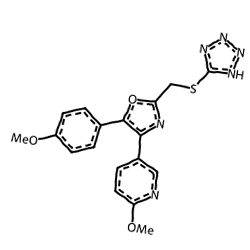 COc1ccc(-c2oc(CSc3nnn[nH]3)nc2-c2ccc(OC)nc2)cc1